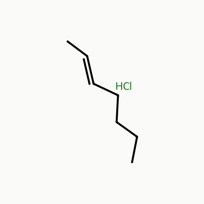 CC=CCCCC.Cl